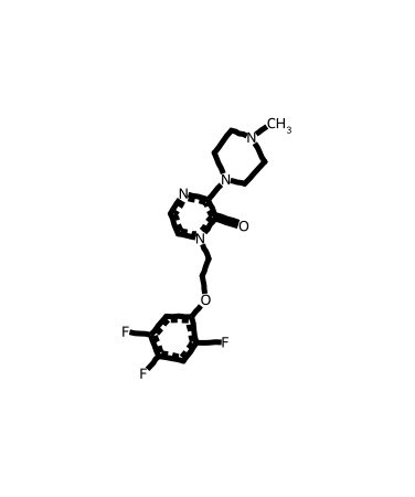 CN1CCN(c2nccn(CCOc3cc(F)c(F)cc3F)c2=O)CC1